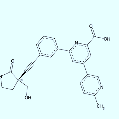 Cc1ccc(-c2cc(C(=O)O)nc(-c3cccc(C#C[C@@]4(CO)CCNC4=O)c3)c2)cn1